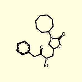 CCN(C[C@H]1CN(C2CCCCCCC2)C(=O)O1)C(=O)Cc1ccccc1